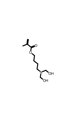 C=C(C)C(=O)OCCCCN(CO)CO